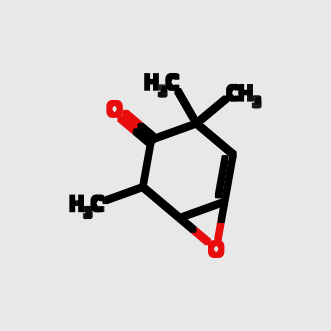 CC1C(=O)C(C)(C)C=C2OC21